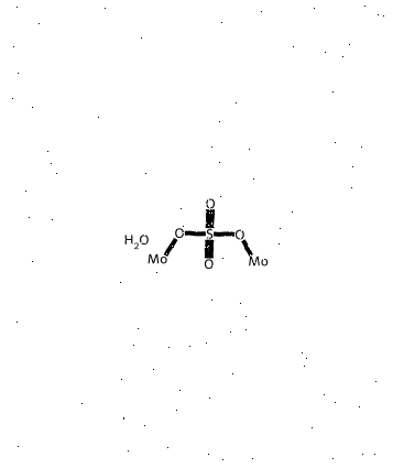 O.O=S(=O)([O][Mo])[O][Mo]